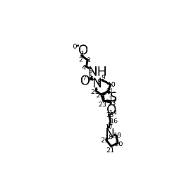 COCCCNC(=O)N1CCc2sc(OCCCN3CCCC3)cc2C1